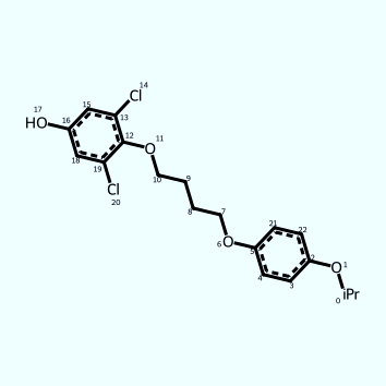 CC(C)Oc1ccc(OCCCCOc2c(Cl)cc(O)cc2Cl)cc1